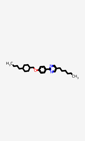 CCCCCCc1cnc(-c2ccc(OCC3CCC(CCCC)CC3)cc2)nc1